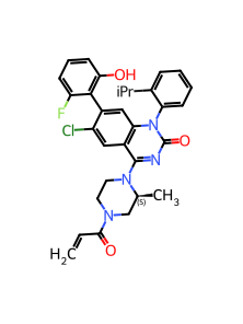 C=CC(=O)N1CCN(c2nc(=O)n(-c3ccccc3C(C)C)c3cc(-c4c(O)cccc4F)c(Cl)cc23)[C@@H](C)C1